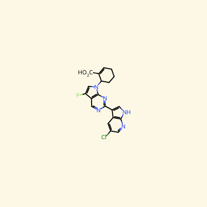 O=C(O)C1=CCCCC1n1cc(F)c2cnc(-c3c[nH]c4ncc(Cl)cc34)nc21